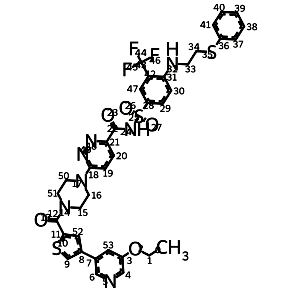 CCOc1cncc(-c2csc(C(=O)N3CCN(c4ccc(C(=O)NS(=O)(=O)c5ccc(NCCSc6ccccc6)c(C(F)(F)F)c5)nn4)CC3)c2)c1